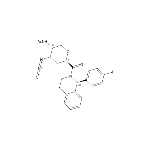 CC(=O)N[C@@H]1CO[C@@H](C(=O)N2CCc3ccccc3[C@@H]2c2ccc(F)cc2)CC1N=[N+]=[N-]